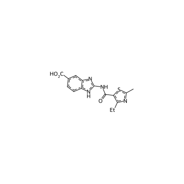 CCc1nc(C)sc1C(=O)Nc1nc2cc(C(=O)O)ccc2[nH]1